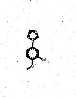 COc1ccc(-n2ccnc2)cc1N